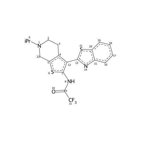 CC(C)N1CCc2c(sc(NC(=O)C(F)(F)F)c2-c2nc3ccccc3s2)C1